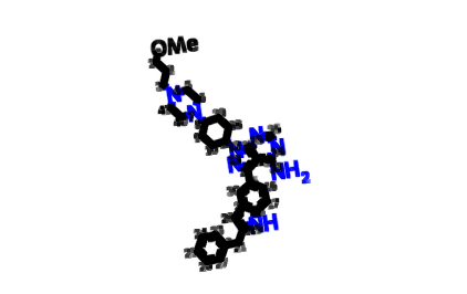 COCCCN1CCN(C2CCC(n3nc(-c4ccc5[nH]c(Cc6ccccc6)cc5c4)c4c(N)ncnc43)CC2)CC1